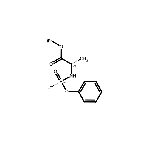 CC[P@](=O)(N[C@@H](C)C(=O)OC(C)C)Oc1ccccc1